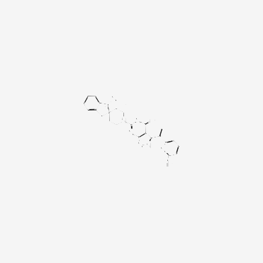 C=C(c1cccc(C(C)C)n1)c1n[nH]c2nc(N3CCC4(CC3)Cc3ccccc3[C@H]4N)[nH]c(=O)c12